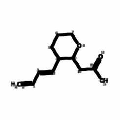 C=CC=CC1CCCOC1CC(=O)O